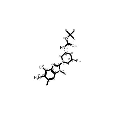 Cc1cc2c(nc(N3C[C@H](F)C[C@@H](NC(=O)OC(C)(C)C)C3)n2C)c(Br)c1N